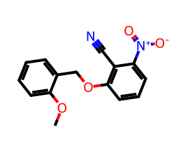 COc1ccccc1COc1cccc([N+](=O)[O-])c1C#N